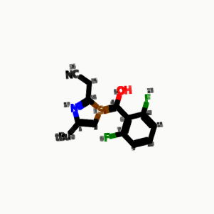 CC(C)(C)C1=CS(=C(O)c2c(F)cccc2F)C(CC#N)=N1